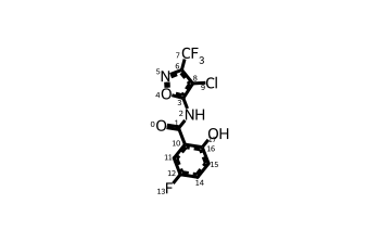 O=C(Nc1onc(C(F)(F)F)c1Cl)c1cc(F)ccc1O